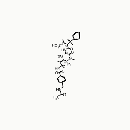 CC(=C[C@H](C(C)C)N(C)C(=O)[C@@H](NC(=O)[C@@H](N(C)C(=O)O)C(C)(C)c1ccccc1)C(C)(C)C)C(=O)NS(=O)(=O)c1ccc(CNC(=O)C(F)(F)F)cc1